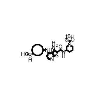 CC(C)(C)OC(=O)N1CCCC(NC(=O)c2sc3nccc(NC4CCCCCC(BO)CCC4)c3c2N)C1